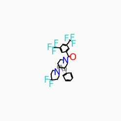 O=C(c1cc(C(F)(F)F)cc(C(F)(F)F)c1)N1CC[C@@H](N2CCC(F)(F)CC2)[C@@H](c2ccccc2)C1